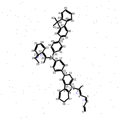 C=C/C=C\C=C(/C)n1c2c(c3c1=CCC(c1ccc(N(/C(C)=c4\cccc\c4=C\C)c4ccc(-c5ccc6c(c5)C(C)(C)c5ccccc5-6)cc4)cc1)C=3)C=CCC2